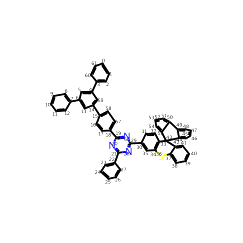 c1ccc(-c2cc(-c3ccccc3)cc(-c3ccc(-c4nc(-c5ccccc5)nc(-c5ccc6c(c5)Sc5ccccc5C65c6ccccc6-c6ccccc65)n4)cc3)c2)cc1